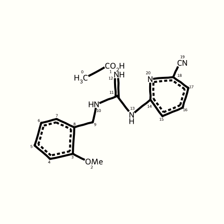 CC(=O)O.COc1ccccc1CNC(=N)Nc1cccc(C#N)n1